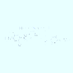 COc1c(C)cc(C(=O)CCCN2CCC(OC(=O)c3cc(Cl)c(N)c4c3OCC4)CC2)cc1C.O=C(O)/C=C/C(=O)O